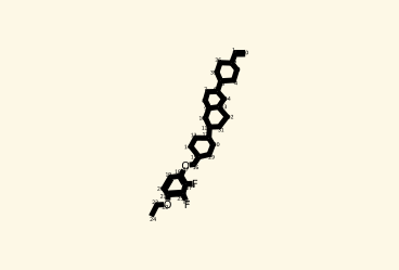 C=CC1CCC(C2CCC3CC(C4CCC(COc5ccc(OCC)c(F)c5F)CC4)CCC3C2)CC1